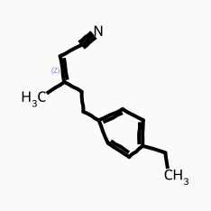 CCc1ccc(CC/C(C)=C\C#N)cc1